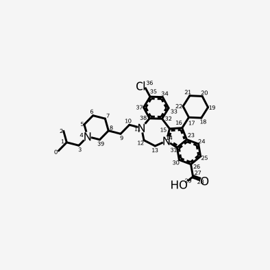 CC(C)CN1CCCC(CCN2CCn3c(c(C4CCCCC4)c4ccc(C(=O)O)cc43)-c3ccc(Cl)cc32)C1